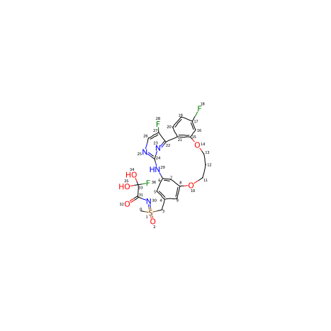 CS(=O)(Cc1cc2cc(c1)OCCCOc1cc(F)ccc1-c1nc(ncc1F)N2)=NC(=O)C(O)(O)F